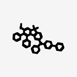 CSc1cc2c(c(-c3ccccc3)c1-c1ccccc1)-c1cc(N(C3=CC=CCC3)C3=CC=C(c4ccccc4)CC3)ccc1C2(C)C